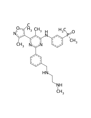 CNCCNCc1cccc(-c2nc(Nc3cccc(P(C)(C)=O)c3)c(C)c(-c3c(C)noc3C)n2)c1